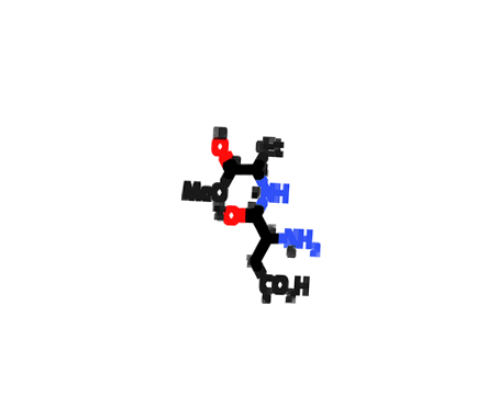 CCC(NC(=O)C(N)CC(=O)O)C(=O)OC